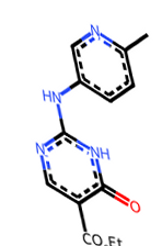 CCOC(=O)c1cnc(Nc2ccc(C)nc2)[nH]c1=O